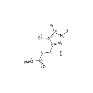 CC[n+]1c(CCC(=O)OC)cn(C)c1C.[I-]